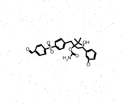 CC(C)(C)C(Cc1ccc(S(=O)(=O)c2ccc(C=O)cc2)cc1)(C[C@@H](O)c1cccc(Cl)c1)OC(N)=O